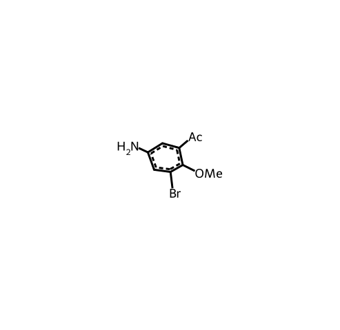 COc1c(Br)cc(N)cc1C(C)=O